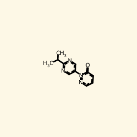 CC(C)c1ncc(-n2ncccc2=O)cn1